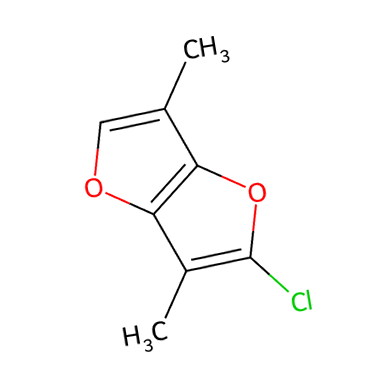 Cc1coc2c(C)c(Cl)oc12